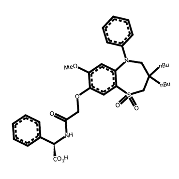 CCCCC1(CCCC)CN(c2ccccc2)c2cc(OC)c(OCC(=O)N[C@@H](C(=O)O)c3ccccc3)cc2S(=O)(=O)C1